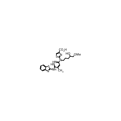 COCC(O)CCCN(C(=N)/C=C(/C)C(=N)Nc1nc2ccccc2s1)c1nc(C(=O)O)cs1